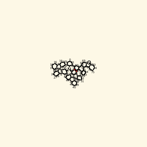 c1ccc(N(c2ccc3c(c2)C2(c4ccccc4-c4ccccc42)c2ccccc2-3)c2ccc3c(c2)C2(c4ccccc4-c4ccccc42)c2ccccc2-3)c(-c2ccc3c4ccccc4c4c(ccc5oc6ccccc6c54)c3c2)c1